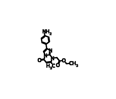 CCOC(=O)Cn1c(C)cc(=O)n2cc(-c3ccc(N)cc3)nc12